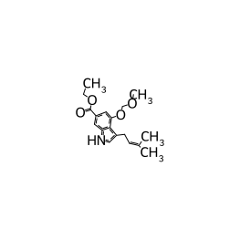 CCOC(=O)c1cc(OCOC)c2c(CC=C(C)C)c[nH]c2c1